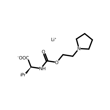 CC(C)[C@H](NC(=O)OCCN1CCCC1)C(=O)[O-].[Li+]